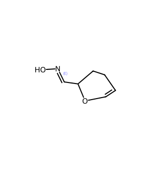 O/N=C/C1CCC=CO1